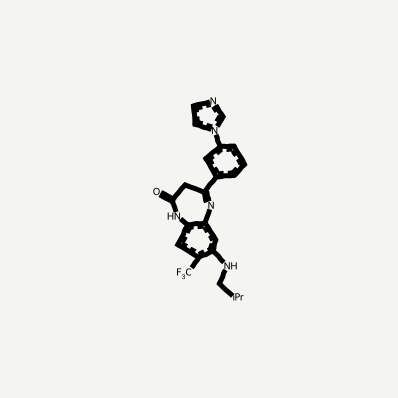 CC(C)CNc1cc2c(cc1C(F)(F)F)NC(=O)CC(c1cccc(-n3ccnc3)c1)=N2